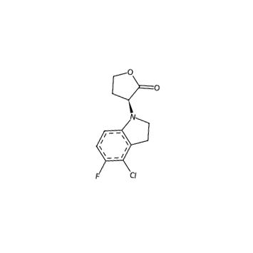 O=C1OCC[C@@H]1N1CCc2c1ccc(F)c2Cl